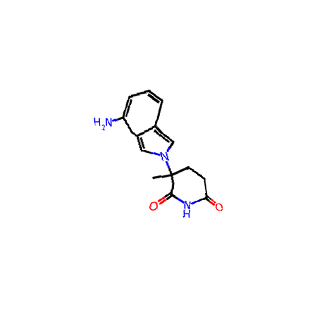 CC1(n2cc3cccc(N)c3c2)CCC(=O)NC1=O